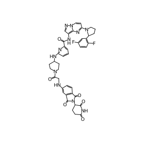 O=C1CCC(N2C(=O)c3ccc(NCC(=O)N4CCC(Nc5cccc(C(=O)Nc6cnn7ccc(N8CCCC8c8cc(F)ccc8F)nc67)n5)CC4)cc3C2=O)C(=O)N1